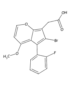 COc1ccoc2c(CC(=O)O)c(Br)c(-c3ccccc3F)c1-2